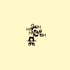 O=P(O)(O)CNN(CP(=O)(O)O)C1CCS(=O)(=O)C1